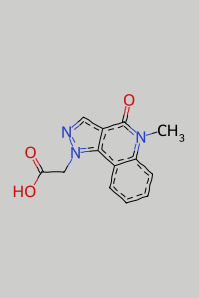 Cn1c(=O)c2cnn(CC(=O)O)c2c2ccccc21